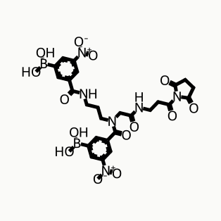 O=C(CN(CCCNC(=O)c1cc(B(O)O)cc([N+](=O)[O-])c1)C(=O)c1cc(B(O)O)cc([N+](=O)[O-])c1)NCCC(=O)N1C(=O)CCC1=O